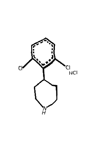 Cl.Clc1cccc(Cl)c1C1CCNCC1